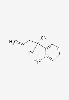 C=CCC(C#N)(c1ccccc1C)C(C)C